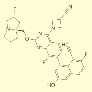 C#Cc1c(F)ccc2cc(O)cc(-c3ccc4c(N5CC(C#N)C5)nc(OC[C@@]56CCCN5C[C@H](F)C6)nc4c3F)c12